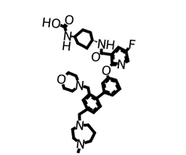 CN1CCCN(Cc2ccc(-c3cccc(Oc4ncc(F)cc4C(=O)N[C@H]4CC[C@H](NC(=O)O)CC4)c3)c(CN3CCOCC3)c2)CC1